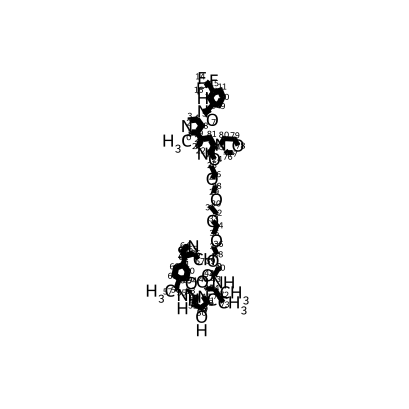 Cc1ncc(NC(=O)c2cccc(C(F)(F)F)c2)cc1-c1cnc(OCCOCCOCCOCCOCCOCC(=O)NC(C(=O)N2C[C@H](O)C[C@H]2C(=O)NC(C)c2ccc(-c3scnc3C)cc2)C(C)(C)C)c(N2CCOCC2)c1